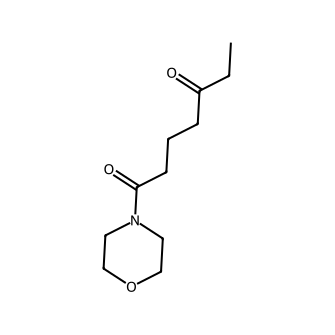 CCC(=O)CCCC(=O)N1CCOCC1